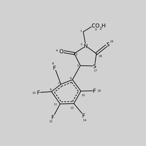 O=C(O)CN1C(=O)C(c2c(F)c(F)c(F)c(F)c2F)SC1=S